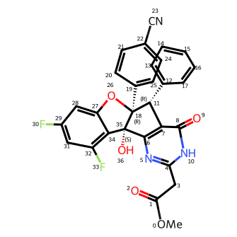 COC(=O)Cc1nc2c(c(=O)[nH]1)[C@@H](c1ccccc1)[C@]1(c3ccc(C#N)cc3)Oc3cc(F)cc(F)c3[C@]21O